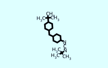 CC(C)(C)N=C=NC1CCC(CC2CCC(C(C)(C)C)CC2)CC1